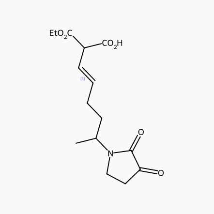 CCOC(=O)C(/C=C/CCC(C)N1CCC(=O)C1=O)C(=O)O